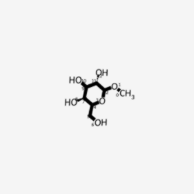 COC1OC(CO)[C@@H](O)C(O)[C@@H]1O